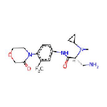 CN(C1CC1)[C@H](CN)C(=O)Nc1ccc(N2CCOCC2=O)c(C(F)(F)F)c1